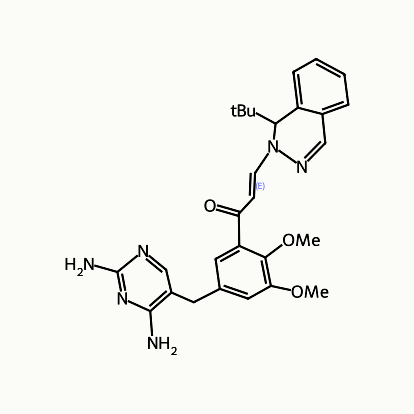 COc1cc(Cc2cnc(N)nc2N)cc(C(=O)/C=C/N2N=Cc3ccccc3C2C(C)(C)C)c1OC